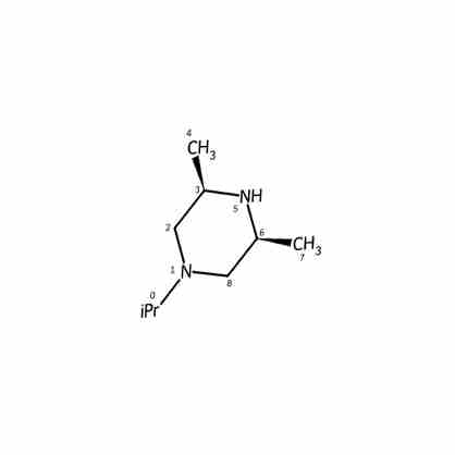 CC(C)N1C[C@@H](C)N[C@@H](C)C1